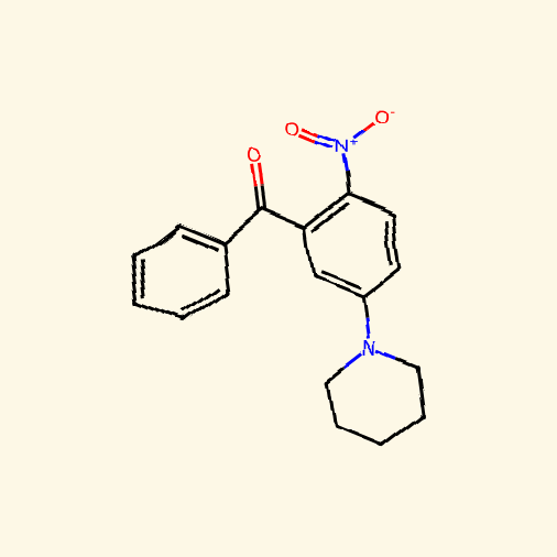 O=C(c1ccccc1)c1cc(N2CCCCC2)ccc1[N+](=O)[O-]